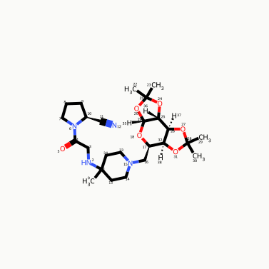 CC1(NCC(=O)N2CCC[C@H]2C#N)CCN(C[C@H]2O[C@@H]3OC(C)(C)O[C@@H]3[C@H]3OC(C)(C)O[C@H]32)CC1